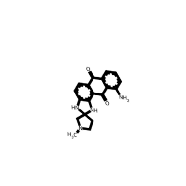 CN1CCC2(C1)Nc1ccc3c(c1N2)C(=O)c1c(N)cccc1C3=O